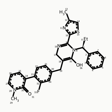 CC[C@@H](c1ccccc1)N1C(c2nc(C)cs2)=NCC(Cc2ccc(-c3cccn(C)c3=O)c(F)c2)=C1O